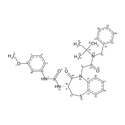 COc1cccc(NC(=O)N[C@H]2CSc3ccccc3N(CC(=O)N(Cc3ccccc3)C(C)(C)C)C2=O)c1